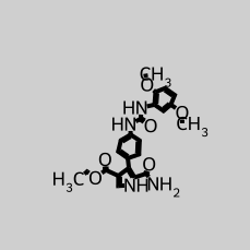 CCOC(=O)c1c[nH]c(C(N)=O)c1-c1ccc(NC(=O)Nc2cc(OC)ccc2OC)cc1